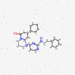 O=c1cc(-c2ccccc2)cc2n1CCCN2c1ccnc(NCCc2ccccc2)n1